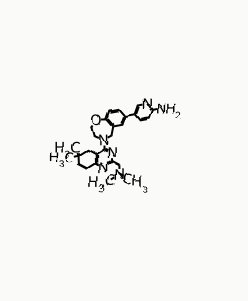 CN(C)Cc1nc2c(c(N3CCOc4ccc(-c5ccc(N)nc5)cc4C3)n1)CC(C)(C)CC2